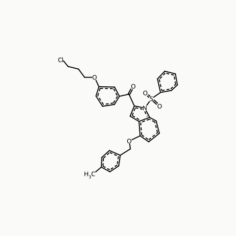 Cc1ccc(COc2cccc3c2cc(C(=O)c2cccc(OCCCCl)c2)n3S(=O)(=O)c2ccccc2)cc1